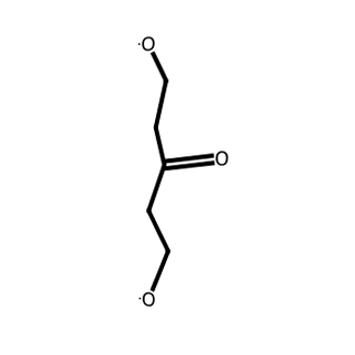 [O]CCC(=O)CC[O]